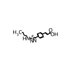 CCCCNc1nnc(-c2ccc(/C=C/C(=O)O)cc2)s1